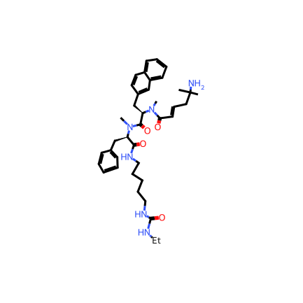 CCNC(=O)NCCCCCNC(=O)[C@@H](Cc1ccccc1)N(C)C(=O)[C@@H](Cc1ccc2ccccc2c1)N(C)C(=O)/C=C/CC(C)(C)N